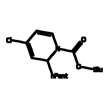 CCCCCC1C=C(Cl)C=CN1C(=O)OC(C)(C)C